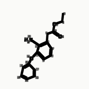 CCOC(=O)Cc1cccc(Oc2ccccc2)c1N